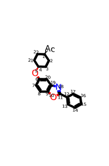 CC(=O)[C@H]1CC[C@@H](Oc2ccc3oc(-c4ccccc4)nc3c2)CC1